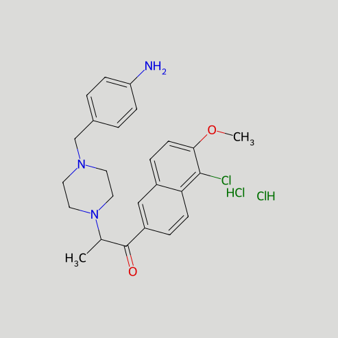 COc1ccc2cc(C(=O)C(C)N3CCN(Cc4ccc(N)cc4)CC3)ccc2c1Cl.Cl.Cl